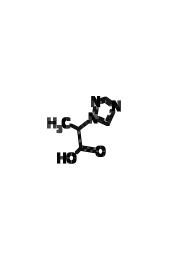 CC(C(=O)O)n1cncn1